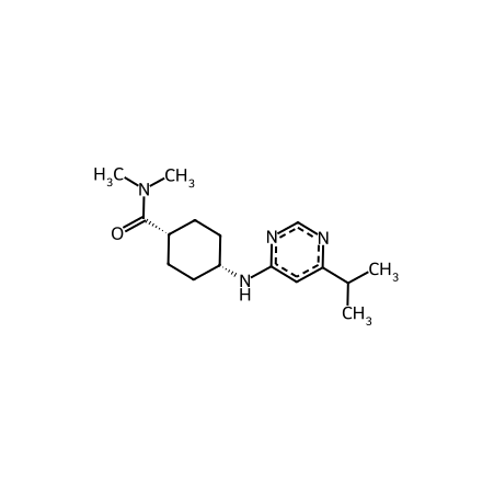 CC(C)c1cc(N[C@H]2CC[C@@H](C(=O)N(C)C)CC2)ncn1